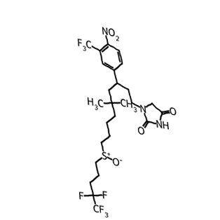 CC(C)(CCCC[S+]([O-])CCCC(F)(F)C(F)(F)F)CC(CCN1CC(=O)NC1=O)c1ccc([N+](=O)[O-])c(C(F)(F)F)c1